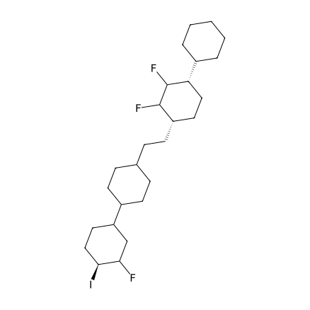 FC1C(F)[C@H](C2CCCCC2)CC[C@@H]1CCC1CCC(C2CC[C@H](I)C(F)C2)CC1